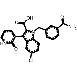 NC(=O)c1cccc(Cn2c(C(=O)O)c(-c3ccc[nH]c3=O)c3cc(Cl)ccc32)c1